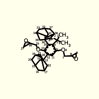 CC(C)(C)c1c(OCC2CO2)cc(C23CC4CC(CC(C4)C2)C3)c(OCC2CO2)c1C12CC3CC(CC(C3)C1)C2